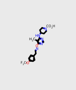 Cc1c(NC2CCN(C(=O)O)CC2)ncnc1ON=CCc1ccc(OC(F)(F)F)cc1